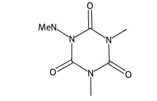 CNn1c(=O)n(C)c(=O)n(C)c1=O